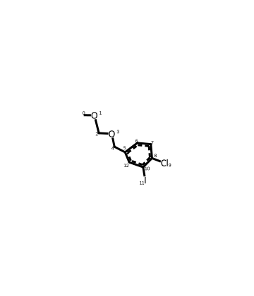 COCOCc1ccc(Cl)c(I)c1